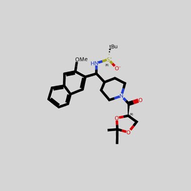 COc1cc2ccccc2cc1C(N[S@@+]([O-])C(C)(C)C)C1CCN(C(=O)[C@H]2COC(C)(C)O2)CC1